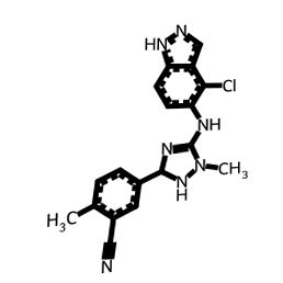 Cc1ccc(C2N=C(Nc3ccc4[nH]ncc4c3Cl)N(C)N2)cc1C#N